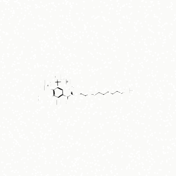 CCCCCCCCSCCOC(=O)C(C)c1cc(C)c(O)c(C(C)(C)C)c1